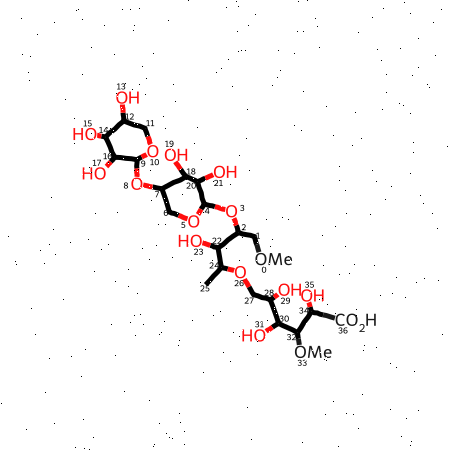 COCC(OC1OCC(OC2OCC(O)C(O)C2O)C(O)C1O)C(O)C(C)OCC(O)C(O)C(OC)C(O)C(=O)O